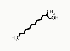 CCCCCCCCCCC(C)CO